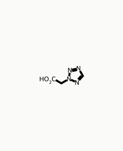 O=C(O)Cn1ncnn1